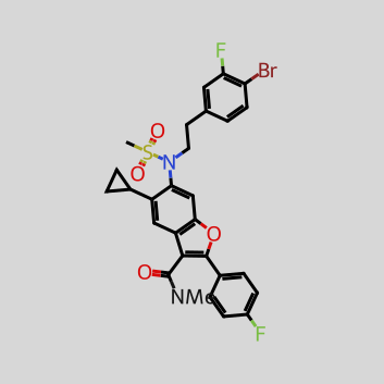 CNC(=O)c1c(-c2ccc(F)cc2)oc2cc(N(CCc3ccc(Br)c(F)c3)S(C)(=O)=O)c(C3CC3)cc12